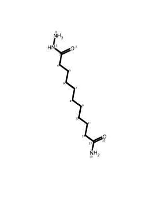 NNC(=O)CCCCCCCCCC(N)=O